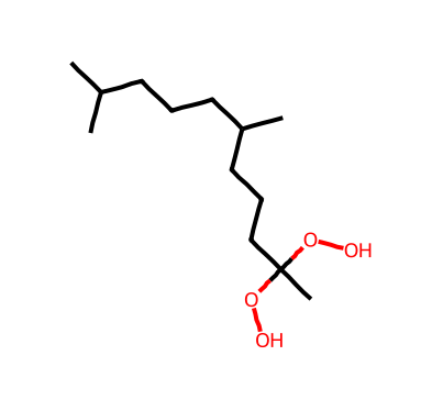 CC(C)CCCC(C)CCCC(C)(OO)OO